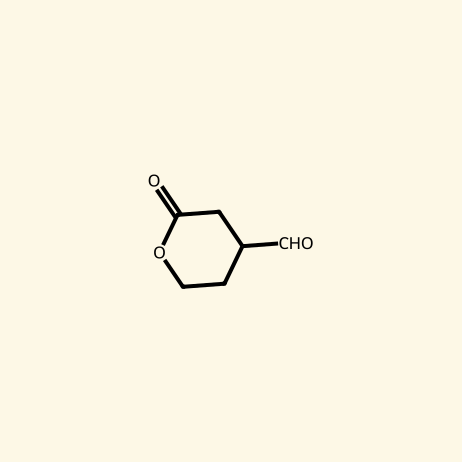 O=CC1CCOC(=O)C1